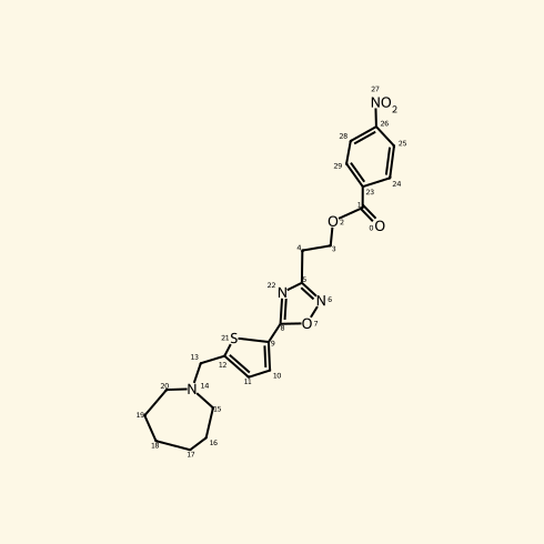 O=C(OCCc1noc(-c2ccc(CN3CCCCCC3)s2)n1)c1ccc([N+](=O)[O-])cc1